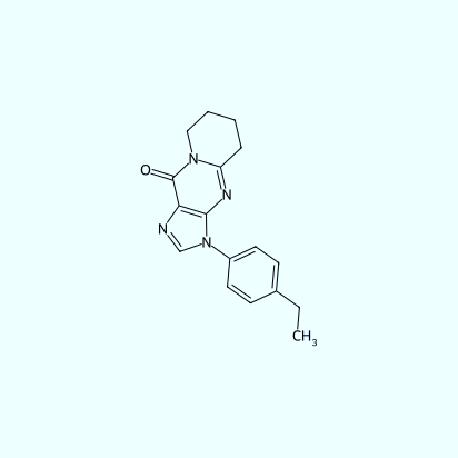 CCc1ccc(-n2cnc3c(=O)n4c(nc32)CCCC4)cc1